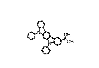 OB(O)c1ccc2c(c1)c1cc3c4ccccc4n(-c4ccccc4)c3cc1n2-c1ccccc1